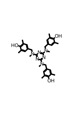 Cc1cc(CN(C)c2nc(N(C)Cc3cc(C)c(O)c(C)c3)nc(N(C)Cc3cc(C)c(O)c(C)c3)n2)cc(C)c1O